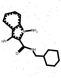 CCCc1c(C(=O)NCC2CCCCC2)n(N)c2ccccc12